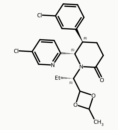 CC[C@@H](C1OC(C)O1)N1C(=O)CC[C@H](c2cccc(Cl)c2)[C@H]1c1ccc(Cl)cn1